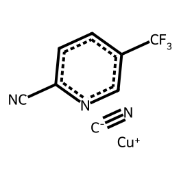 N#Cc1ccc(C(F)(F)F)cn1.[C-]#N.[Cu+]